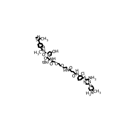 Cc1ncsc1-c1ccc([C@H](C)NC(=O)[C@@H]2C[C@@H](O)CN2C(=O)[C@@H](NC(=O)COCCOCCNC(=O)CCC(=O)Nc2cccc(Sc3ncc(N4CCC(C)(N)CC4)nc3N)c2Cl)C(C)(C)C)cc1